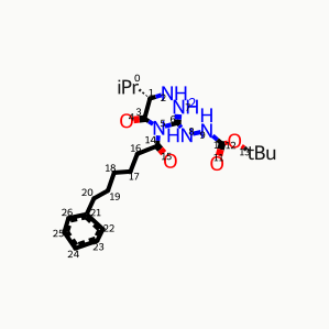 CC(C)[C@H](N)C(=O)N(C(=N)NNC(=O)OC(C)(C)C)C(=O)CCCCCc1ccccc1